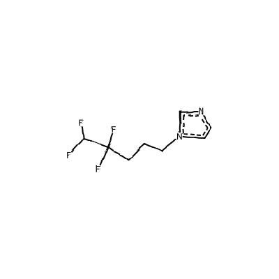 FC(F)C(F)(F)CCCn1ccnc1